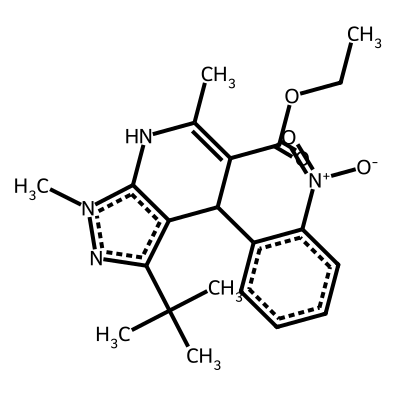 CCOC(=O)C1=C(C)Nc2c(c(C(C)(C)C)nn2C)C1c1ccccc1[N+](=O)[O-]